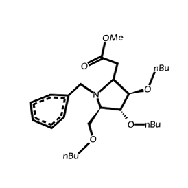 CCCCOC[C@@H]1[C@@H](OCCCC)[C@H](OCCCC)C(CC(=O)OC)N1Cc1ccccc1